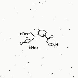 CCCCCCCCCCCC(C[C@@H]1OC(=O)[C@H]1CCCCCC)[C@H]1CN(C(=O)CC(=O)O)CCS1